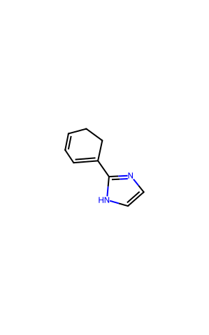 C1=CCCC(c2ncc[nH]2)=C1